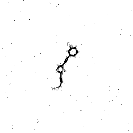 OCC#Cc1nc(C#Cc2cccc(F)c2)cs1